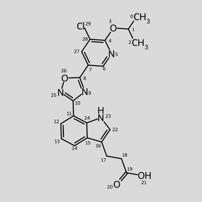 CC(C)Oc1ncc(-c2nc(-c3cccc4c(CCC(=O)O)c[nH]c34)no2)cc1Cl